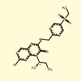 CC[C@@H](C)n1c(=O)c(NCc2ncc(S(=O)(=O)CC)cn2)nc2cnc(Cl)nc21